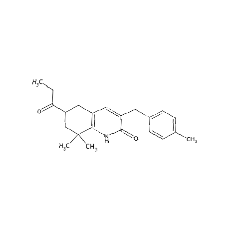 CCC(=O)C1Cc2cc(Cc3ccc(C)cc3)c(=O)[nH]c2C(C)(C)C1